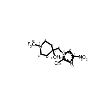 O=[N+]([O-])c1cn(CC2(O)CCN(C(F)(F)F)CC2)c(Cl)n1